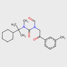 Cc1cccc(C(=O)CN(C=O)C(=O)N(C)C(C)(C)C2CCCCC2)c1